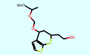 COC(C)OCOC1CC(CCO)Sc2sccc21